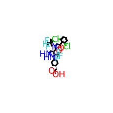 N=C/C(C(=O)N(CC(=O)c1c(Cl)cccc1Cl)CC1(C(F)(F)F)CC1)=C(\N[C@H]1CC[C@@H](CC(=O)O)CC1)C(F)(F)F